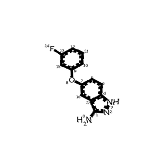 Nc1n[nH]c2ccc(Oc3cccc(F)c3)cc12